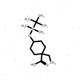 CCC1(C(=O)O)CCC(O[Si](C)(C)C(C)(C)C)CC1